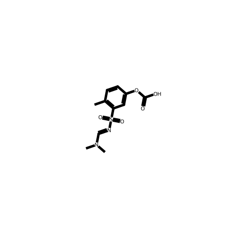 Cc1ccc(OC(=O)O)cc1S(=O)(=O)/N=C/N(C)C